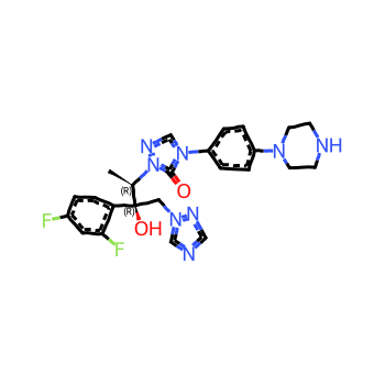 C[C@@H](n1ncn(-c2ccc(N3CCNCC3)cc2)c1=O)[C@](O)(Cn1cncn1)c1ccc(F)cc1F